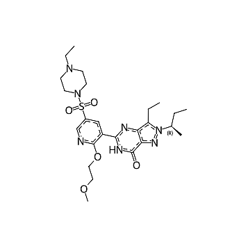 CCc1c2nc(-c3cc(S(=O)(=O)N4CCN(CC)CC4)cnc3OCCOC)[nH]c(=O)c2nn1[C@H](C)CC